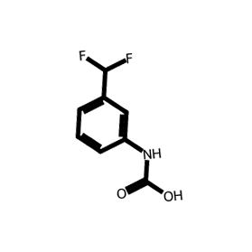 O=C(O)Nc1cccc(C(F)F)c1